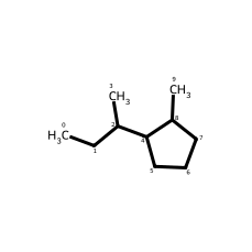 CCC(C)[C]1CCCC1C